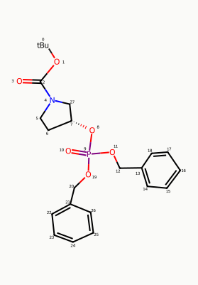 CC(C)(C)OC(=O)N1CC[C@@H](OP(=O)(OCc2ccccc2)OCc2ccccc2)C1